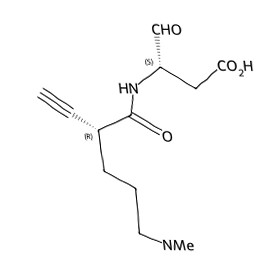 C#C[C@@H](CCCNC)C(=O)N[C@H](C=O)CC(=O)O